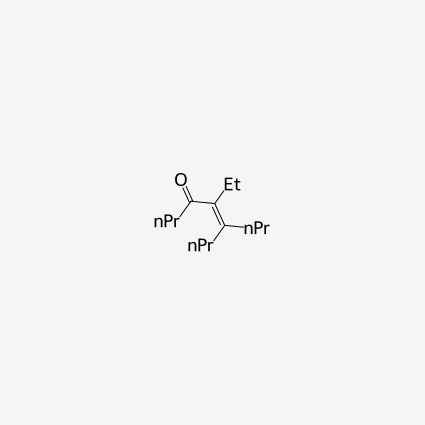 CCCC(=O)C(CC)=C(CCC)CCC